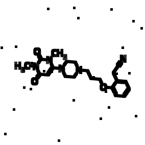 Cn1c(N2CCN(CCCOc3ccccc3CC#N)CC2)cc(=O)n(C)c1=O